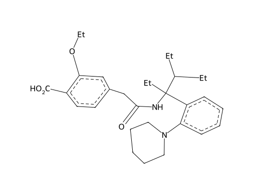 CCOc1cc(CC(=O)NC(CC)(c2ccccc2N2CCCCC2)C(CC)CC)ccc1C(=O)O